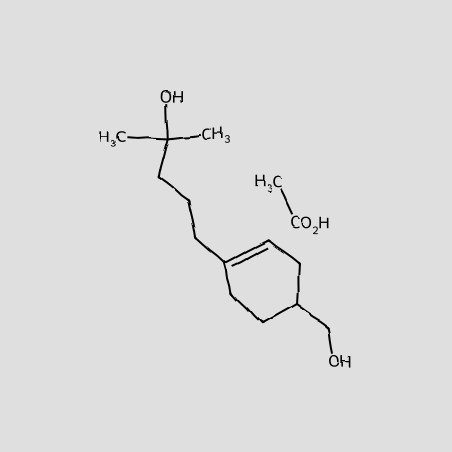 CC(=O)O.CC(C)(O)CCCC1=CCC(CO)CC1